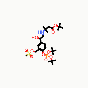 CC(C)(CC(=O)OC(C)(C)C)NCC(O)c1ccc(OP(=O)(OC(C)(C)C)OC(C)(C)C)c(COS(C)(=O)=O)c1